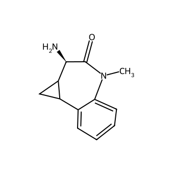 CN1C(=O)[C@H](N)C2CC2c2ccccc21